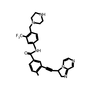 Cc1ccc(C(=O)Nc2ccc(CN3CCNCC3)c(C(F)(F)F)c2)cc1C#CC1CN=C2C=NC=CN21